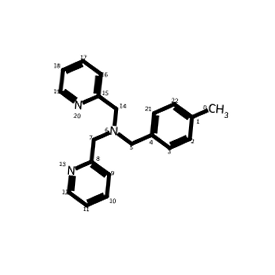 Cc1ccc(CN(Cc2ccccn2)Cc2ccccn2)cc1